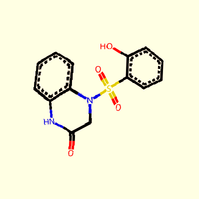 O=C1CN(S(=O)(=O)c2ccccc2O)c2ccccc2N1